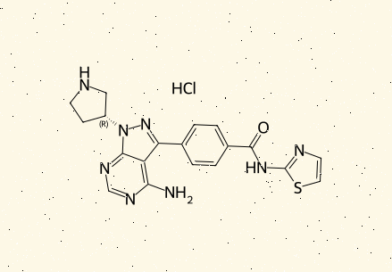 Cl.Nc1ncnc2c1c(-c1ccc(C(=O)Nc3nccs3)cc1)nn2[C@@H]1CCNC1